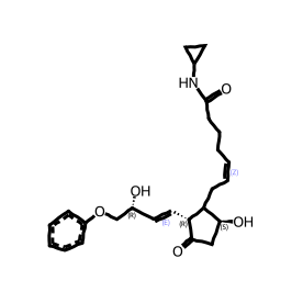 O=C(CCC/C=C\CC1[C@@H](O)CC(=O)[C@@H]1/C=C/[C@@H](O)COc1ccccc1)NC1CC1